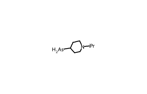 CC(C)N1CCC([AsH2])CC1